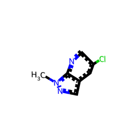 Cn1ncc2cc(Cl)cnc21